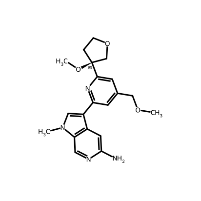 COCc1cc(-c2cn(C)c3cnc(N)cc23)nc([C@]2(OC)CCOC2)c1